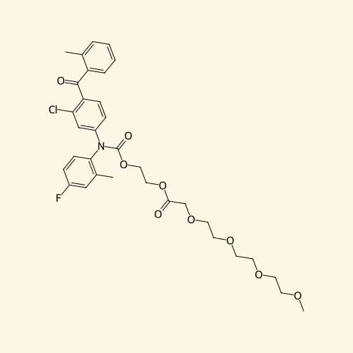 COCCOCCOCCOCC(=O)OCCOC(=O)N(c1ccc(C(=O)c2ccccc2C)c(Cl)c1)c1ccc(F)cc1C